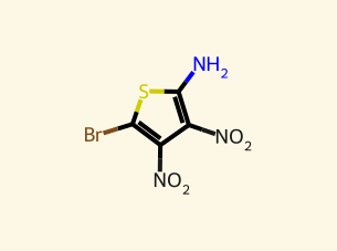 Nc1sc(Br)c([N+](=O)[O-])c1[N+](=O)[O-]